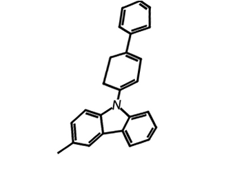 Cc1ccc2c(c1)c1ccccc1n2C1=CC=C(c2ccccc2)CC1